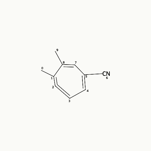 CC1=C=CC=C(C#N)C=C1C